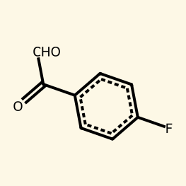 O=CC(=O)c1ccc(F)cc1